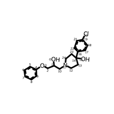 OC(COc1ccccc1)CN1CCC(O)(c2ccc(Cl)cc2)CC1